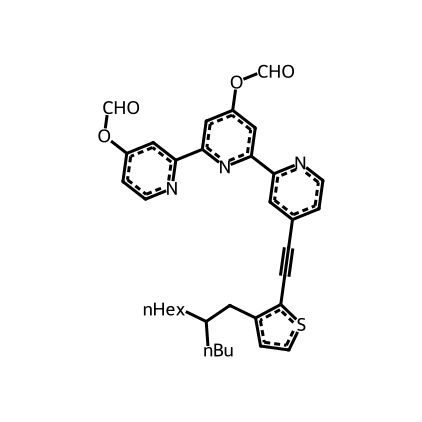 CCCCCCC(CCCC)Cc1ccsc1C#Cc1ccnc(-c2cc(OC=O)cc(-c3cc(OC=O)ccn3)n2)c1